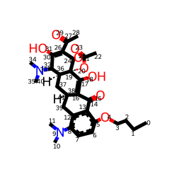 CCCCOc1ccc(N(C)C)c2c1C(=O)C1=C(O)[C@]3(OC(C)=O)C(=O)C(C(C)=O)=C(O)C(N(C)C)[C@@H]3C[C@@H]1C2